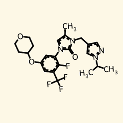 Cc1cn(-c2cc(OC3CCOCC3)cc(C(F)(F)F)c2F)c(=O)n1Cc1cnn(C(C)C)c1